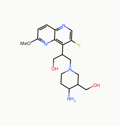 COc1ccc2ncc(F)c(C(CO)CN3CCC(N)C(CO)C3)c2n1